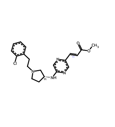 COC(=O)/C=C/c1cnc(N[C@@H]2CCN(CCc3ccccc3Cl)C2)cn1